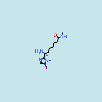 CNC(=O)CCCCC[C@H](N)c1ncc(I)[nH]1